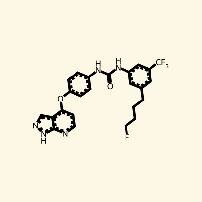 O=C(Nc1ccc(Oc2ccnc3[nH]ncc23)cc1)Nc1cc(CCCCF)cc(C(F)(F)F)c1